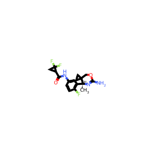 C[C@@]1(c2cc(NC(=O)C3CC3(F)F)ccc2F)N=C(N)OCC12CC2